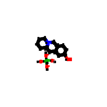 Oc1ccc2c[n+]3ccccc3cc2c1.[O-][Cl+3]([O-])([O-])[O-]